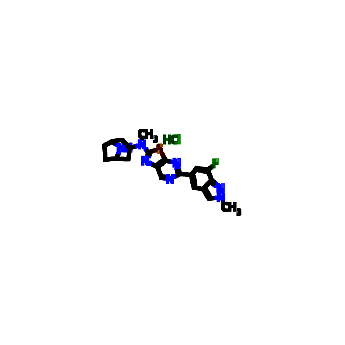 CN(c1nc2cnc(-c3cc(F)c4nn(C)cc4c3)nc2s1)C1CC2CCC(C1)N2.Cl